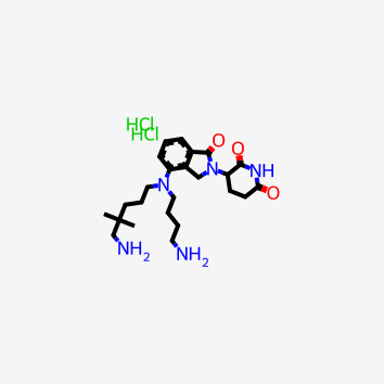 CC(C)(CN)CCCN(CCCCN)c1cccc2c1CN(C1CCC(=O)NC1=O)C2=O.Cl.Cl